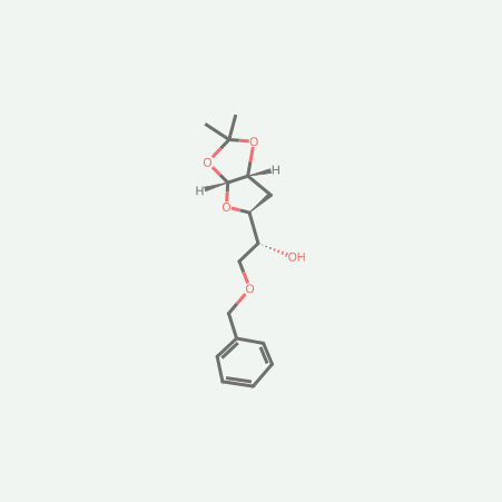 CC1(C)O[C@H]2O[C@H]([C@H](O)COCc3ccccc3)C[C@H]2O1